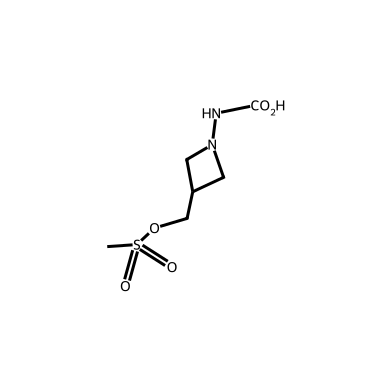 CS(=O)(=O)OCC1CN(NC(=O)O)C1